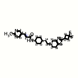 Cc1ncc(/C=C/C(=O)N[C@H]2CC[C@H](CCN3CCc4sc(C5CC(F)(F)C5)nc4C3)CC2)cn1